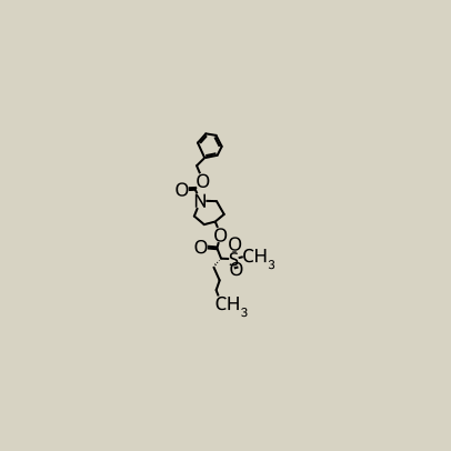 CCCC[C@H](C(=O)OC1CCN(C(=O)OCc2ccccc2)CC1)S(C)(=O)=O